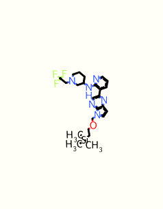 C[Si](C)(C)CCOCn1ccc2nc(-c3cccnc3NC3CCCN(CC(F)(F)F)C3)cnc21